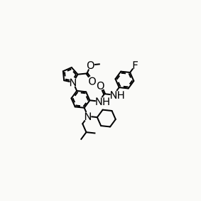 COC(=O)c1cccn1-c1ccc(N(CC(C)C)C2CCCCC2)c(NC(=O)Nc2ccc(F)cc2)c1